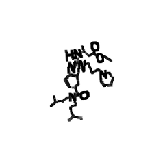 CCOC(=O)CC(C)Nc1nc2ccc(C(=O)N(CCC(C)C)CCC(C)C)cc2n1CCCN1CCCCC1